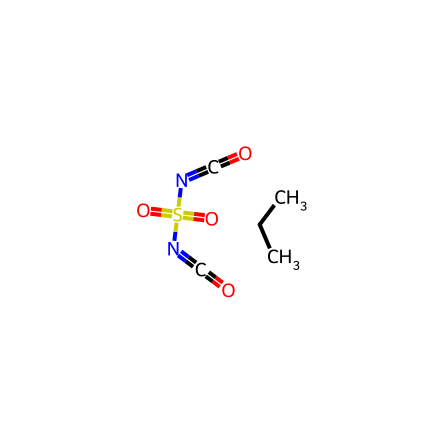 CCC.O=C=NS(=O)(=O)N=C=O